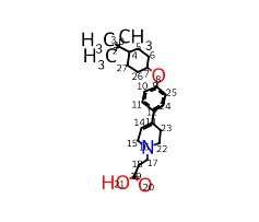 CC(C)(C)C1CCC(Oc2ccc(C3=CCN(CCC(=O)O)CC3)cc2)CC1